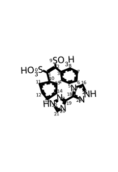 O=S(=O)(O)C(=C(c1ccccc1)S(=O)(=O)O)c1ccccc1.c1nc(-c2nc[nH]n2)n[nH]1